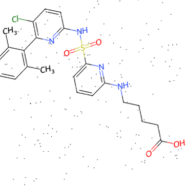 Cc1cccc(C)c1-c1nc(NS(=O)(=O)c2cccc(NCCCCC(=O)O)n2)ccc1Cl